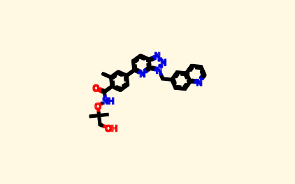 Cc1cc(-c2ccc3nnn(Cc4ccc5ncccc5c4)c3n2)ccc1C(=O)NOC(C)(C)CO